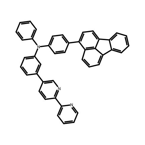 c1ccc(N(c2ccc(-c3ccc4c5c(cccc35)-c3ccccc3-4)cc2)c2cccc(-c3ccc(-c4ccccn4)nc3)c2)cc1